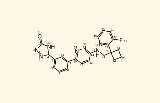 O=C1N=NC(c2cccc(-c3ccc(NCC4(c5ncccc5F)CCC4)nn3)c2)N1